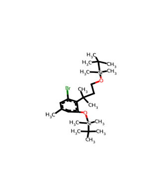 Cc1cc(Br)c(C(C)(C)CCO[Si](C)(C)C(C)(C)C)c(O[Si](C)(C)C(C)(C)C)c1